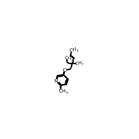 CCCC(C)(CC)COc1ccc(C)nc1